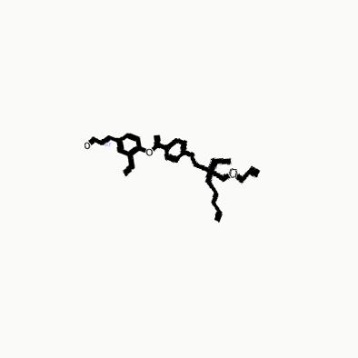 C=CCCCC(CC)(CCc1ccc(C(=C)Oc2ccc(/C=C/C=O)cc2CC)cc1)COCC=C